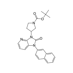 CC(C)(C)OC(=O)N1CCC(n2c(=O)n(-c3ccc4ccccc4c3)c3cccnc32)C1